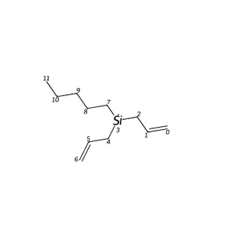 C=CC[Si](CC=C)CCCCC